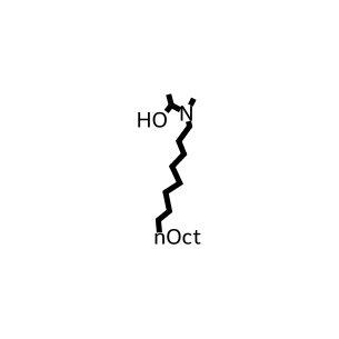 CCCCCCCCCCCCCCCCN(C)C(C)O